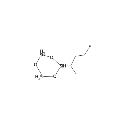 CC(CCF)[SiH]1O[SiH2]O[SiH2]O1